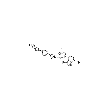 C[C@@H]1CN(c2ccc(C#N)n3ncc(F)c23)C[C@H](CN2CC(c3ccc(N4CC(C)(N)C4)cc3)C2)O1